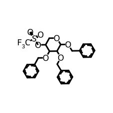 O=S(=O)(OC1COC(OCc2ccccc2)C(OCc2ccccc2)C1OCc1ccccc1)C(F)(F)F